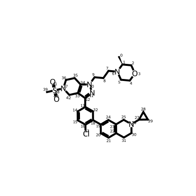 C[C@H]1COCCN1CCCn1nc(-c2ccc(Cl)c(-c3ccc4c(c3)CN(C3CC3)CC4)c2)c2c1CCN(S(C)(=O)=O)C2